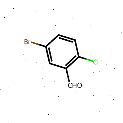 O=[C]c1cc(Br)ccc1Cl